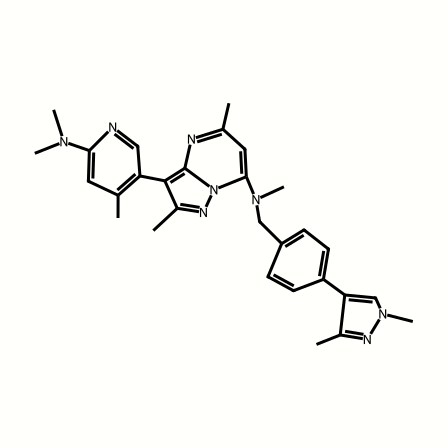 Cc1cc(N(C)Cc2ccc(-c3cn(C)nc3C)cc2)n2nc(C)c(-c3cnc(N(C)C)cc3C)c2n1